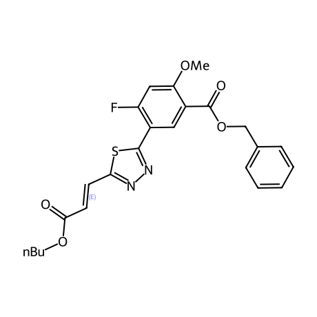 CCCCOC(=O)/C=C/c1nnc(-c2cc(C(=O)OCc3ccccc3)c(OC)cc2F)s1